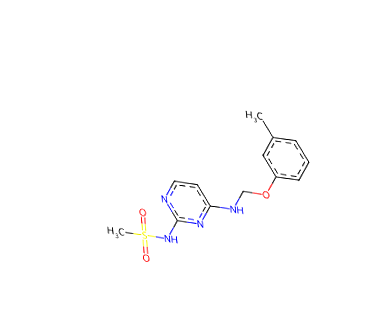 Cc1cccc(OCNc2ccnc(NS(C)(=O)=O)n2)c1